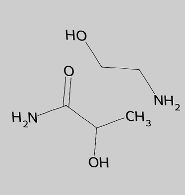 CC(O)C(N)=O.NCCO